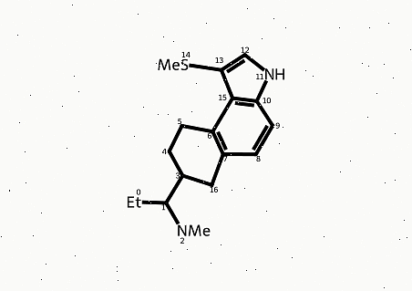 CCC(NC)C1CCc2c(ccc3[nH]cc(SC)c23)C1